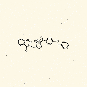 O=C(c1ccc(OCc2ccccc2)cc1)C1CCC(Cn2nnc3ccccc3c2=O)C1C(=O)O